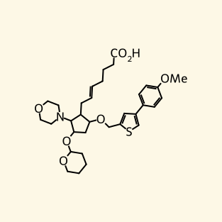 COc1ccc(-c2csc(COC3CC(OC4CCCCO4)C(N4CCOCC4)C3C/C=C/CCCC(=O)O)c2)cc1